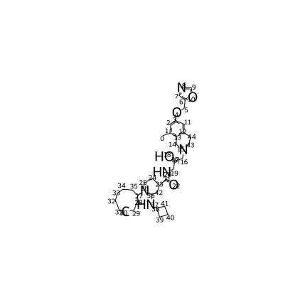 Cc1cc(OCc2cnco2)cc2c1CN(C[C@@H](O)CNC(=O)C1CCN(C3CCCCCCCC3)C(NC3CCC3)C1)CC2